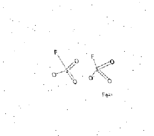 O=S(=O)([O-])F.O=S(=O)([O-])F.[Fe+2]